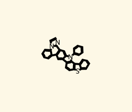 c1ccc(-n2c3cc4c(cc3c3ccc5sc6ccccc6c5c32)c2ccccc2n2ccnc42)cc1